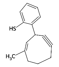 C/C1=C/C(c2ccccc2S)C#CCCC1